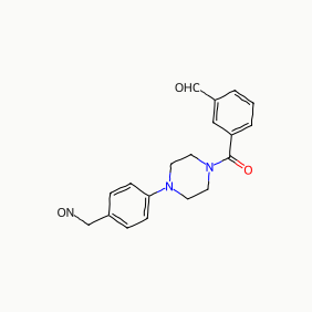 O=Cc1cccc(C(=O)N2CCN(c3ccc(CN=O)cc3)CC2)c1